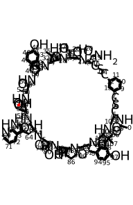 CC(=O)N[C@H]1CSCc2cccc(c2)CSC[C@H](C(N)=O)NC(=O)[C@H]([C@@H](C)O)NC(=O)[C@](C)(C(C)C)NC(=O)[C@H](Cc2ccc(O)cc2)NC(=O)[C@H](C)NC(=O)[C@](C)(CO)NC(=O)[C@H](Cc2c[nH]c3ncccc23)NC(=O)[C@H]([C@@H](C)O)NC(=O)[C@@H]2CCCN2C(=O)[C@H](Cc2ccc(O)cc2)NC(=O)[C@H](C(C)(C)C)NC1=O